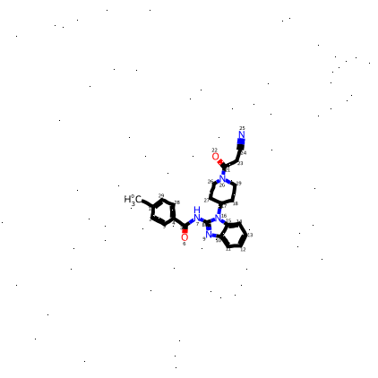 Cc1ccc(C(=O)Nc2nc3ccccc3n2C2CCN(C(=O)CC#N)CC2)cc1